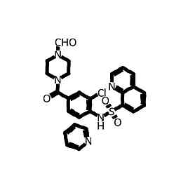 O=CN1CCN(C(=O)c2ccc(NS(=O)(=O)c3cccc4cccnc34)c(Cl)c2)CC1.c1ccncc1